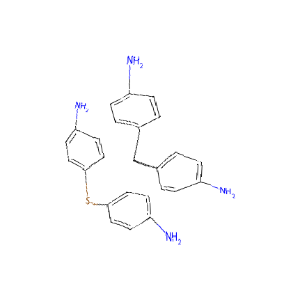 Nc1ccc(Cc2ccc(N)cc2)cc1.Nc1ccc(Sc2ccc(N)cc2)cc1